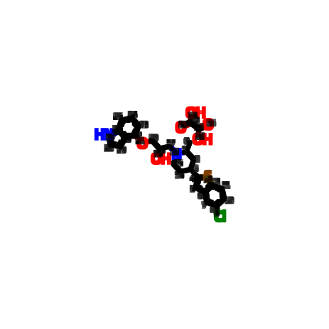 C[C@H]1C[C@@H](c2cc3cc(Cl)ccc3s2)CCN1C[C@H](O)COc1cccc2[nH]ccc12.O=C(O)C(=O)O